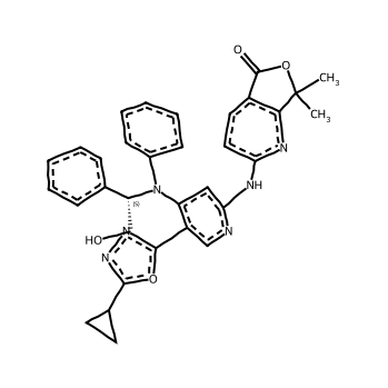 CC1(C)OC(=O)c2ccc(Nc3cc(N(c4ccccc4)[C@H](CO)c4ccccc4)c(-c4nnc(C5CC5)o4)cn3)nc21